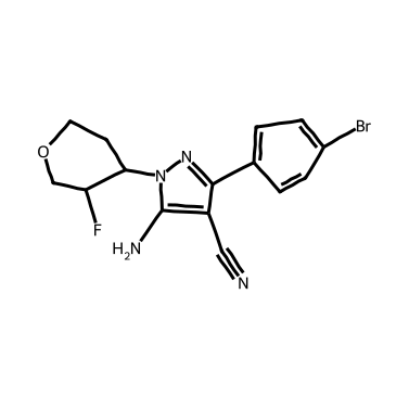 N#Cc1c(-c2ccc(Br)cc2)nn(C2CCOCC2F)c1N